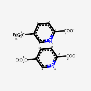 CCOC(=O)c1ccc(C(=O)[O-])nc1.CCOC(=O)c1ccc(C(=O)[O-])nc1.[Ca+2]